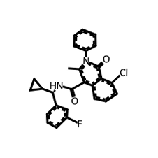 Cc1c(C(=O)N[C@H](c2cccc(F)c2)C2CC2)c2cccc(Cl)c2c(=O)n1-c1ccccc1